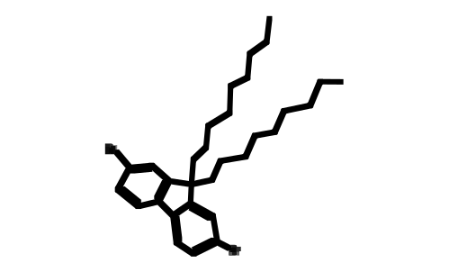 CCCCCCCCCC1(CCCCCCCCC)c2cc(Br)ccc2-c2ccc(Br)cc21